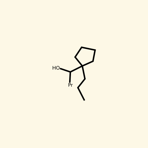 CCCC1([CH](O)[Pr])CCCC1